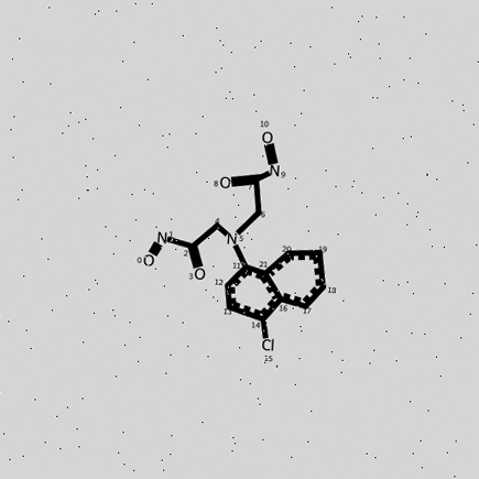 O=NC(=O)CN(CC(=O)N=O)c1ccc(Cl)c2ccccc12